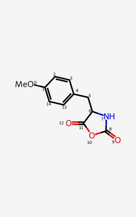 COc1ccc(CC2NC(=O)OC2=O)cc1